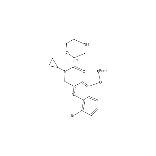 CCCCCOc1cc(CN(C(=O)[C@H]2CNCCO2)C2CC2)nc2c(Br)cccc12